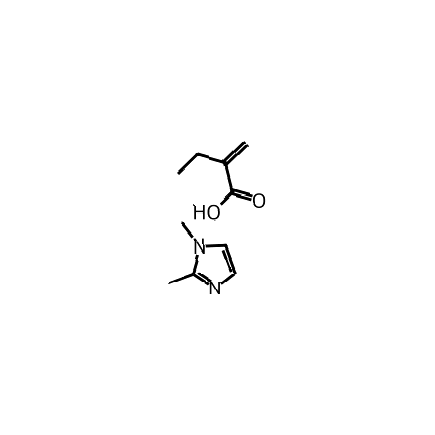 C=C(CC)C(=O)O.Cc1nccn1C